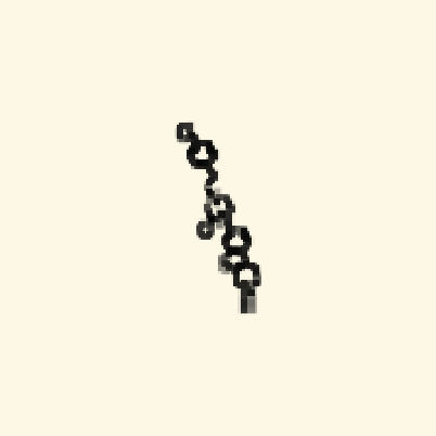 O=C1CN(CCc2ccc(Cl)cc2)CCN1c1ccc2c3c(sc2c1)CNCC3